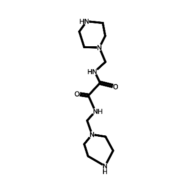 O=C(NCN1CCNCC1)C(=O)NCN1CCNCC1